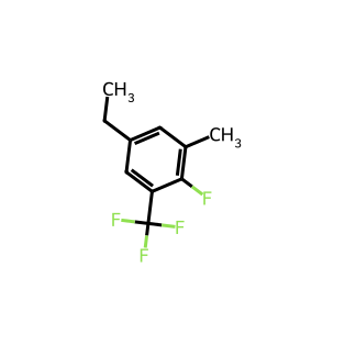 CCc1cc(C)c(F)c(C(F)(F)F)c1